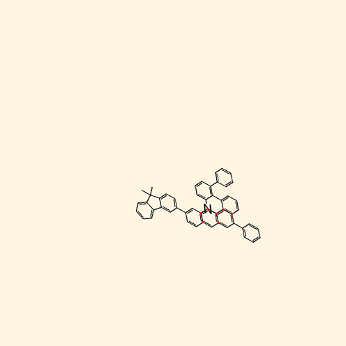 CC1(C)c2ccccc2-c2cc(-c3cccc(N(c4ccc(-c5ccccc5)cc4)c4cccc(-c5ccccc5)c4-c4ccccc4-c4ccccc4)c3)ccc21